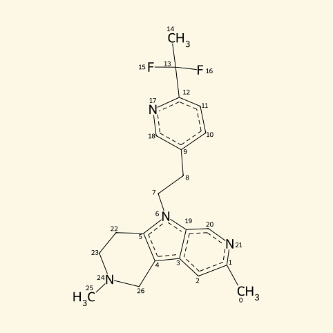 Cc1cc2c3c(n(CCc4ccc(C(C)(F)F)nc4)c2cn1)CCN(C)C3